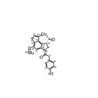 CCc1ccc(CC(=O)N2C[C@@H](CCl)c3c2cc(OC(C)(C)C)c2scc(C)c32)cc1